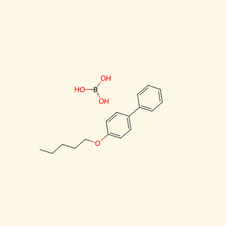 CCCCCOc1ccc(-c2ccccc2)cc1.OB(O)O